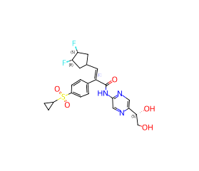 O=C(Nc1cnc([C@H](O)CO)cn1)/C(=C/C1C[C@@H](F)[C@@H](F)C1)c1ccc(S(=O)(=O)C2CC2)cc1